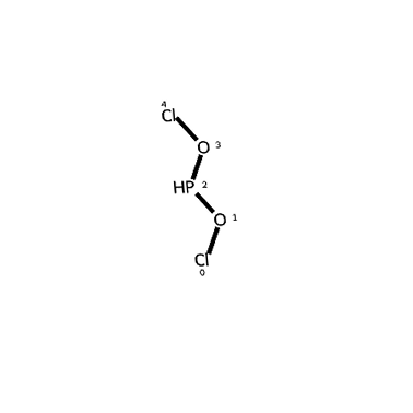 ClOPOCl